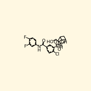 O=C(Nc1ccc(F)c(F)c1)c1ccc(Cl)c(S(=O)(=O)[C@H]2CC3CC(C2)[C@]3(O)C(O)CO)c1